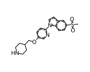 CS(=O)(=O)c1ccc2c(ccn2-c2ccc(OCC3CCNCC3)cn2)c1